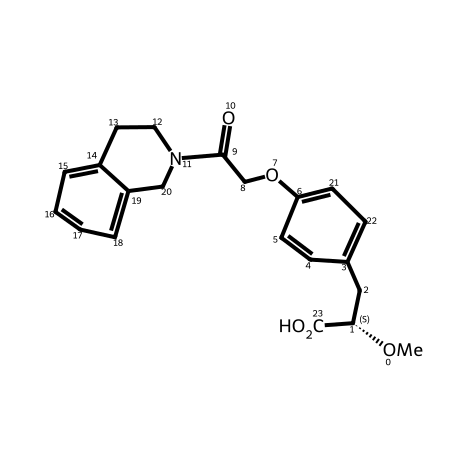 CO[C@@H](Cc1ccc(OCC(=O)N2CCc3ccccc3C2)cc1)C(=O)O